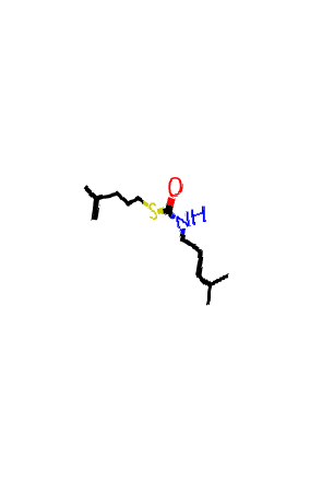 CC(C)CCCNC(=O)SCCCC(C)C